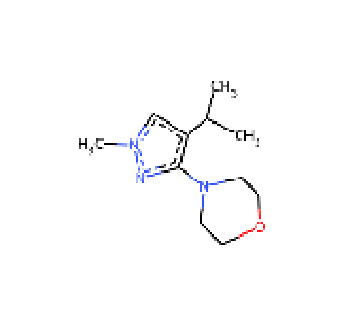 CC(C)c1cn(C)nc1N1CCOCC1